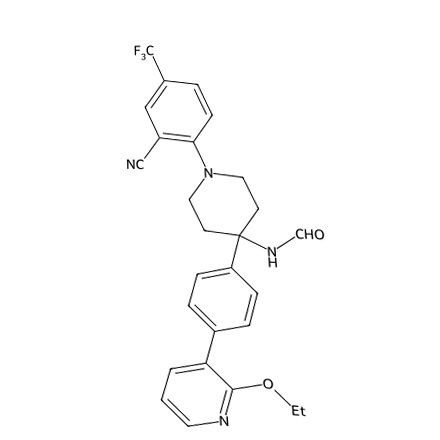 CCOc1ncccc1-c1ccc(C2(NC=O)CCN(c3ccc(C(F)(F)F)cc3C#N)CC2)cc1